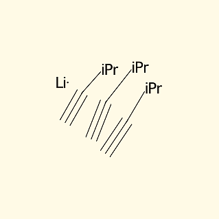 C#CC(C)C.C#CC(C)C.C#CC(C)C.[Li]